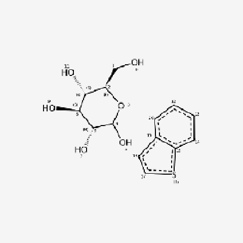 OC[C@H]1OC(O)[C@H](O)[C@@H](O)[C@@H]1O.c1ccc2sccc2c1